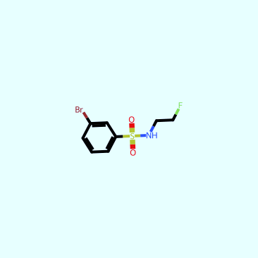 O=S(=O)(NCCF)c1cccc(Br)c1